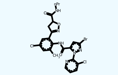 CCCNC(=O)C1CC(c2cc(Cl)cc(C)c2NC(=O)c2cc(Br)nn2-c2ncccc2Cl)=NO1